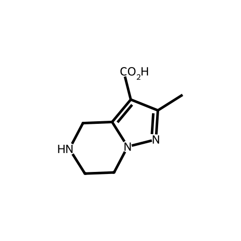 Cc1nn2c(c1C(=O)O)CNCC2